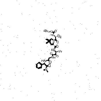 CCC[C@H](NC(=O)[C@@H]1CC(C)(C)CN1C(=O)[C@@H](NC(=O)OCC(C)C)[C@@H](C)CC)C(=O)C(=O)NCC(=O)N[C@H](C(=O)N(C)C)c1ccccc1